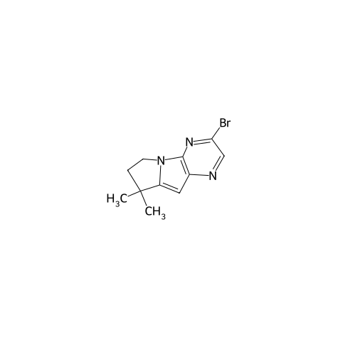 CC1(C)CCn2c1cc1ncc(Br)nc12